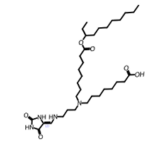 CCCCCCCCC(CC)OC(=O)CCCCCCCN(CCCCCCCC(=O)O)CCCN/C=C1\NC(=O)NC1=O